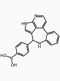 ON(O)c1ccc(C2Nc3ccccc3-c3ccnc4[nH]cc2c34)cc1